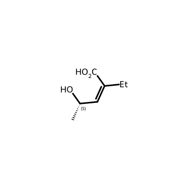 CCC(=C[C@H](C)O)C(=O)O